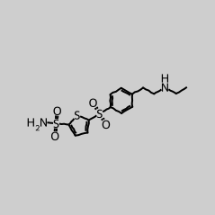 CCNCCc1ccc(S(=O)(=O)c2ccc(S(N)(=O)=O)s2)cc1